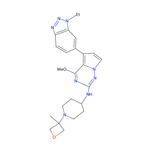 CCn1nnc2ccc(-c3ccn4nc(NC5CCN(C6(C)COC6)CC5)nc(OC)c34)cc21